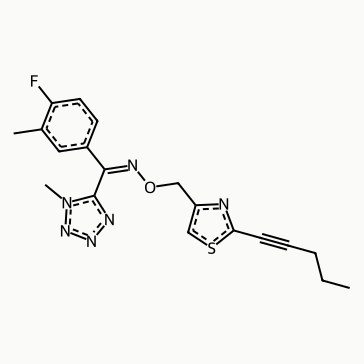 CCCC#Cc1nc(CON=C(c2ccc(F)c(C)c2)c2nnnn2C)cs1